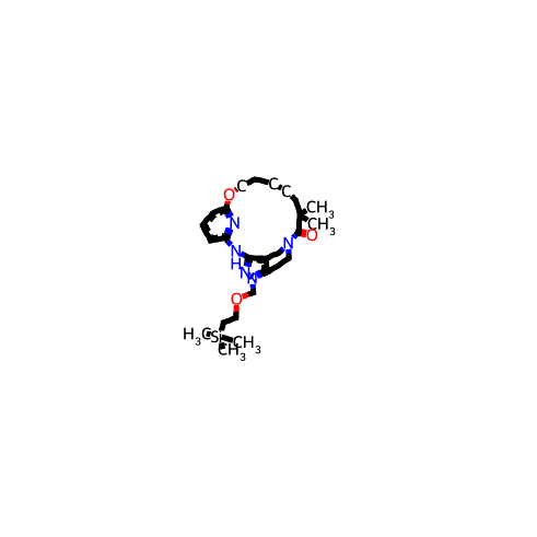 CC1(C)CCCCCOc2cccc(n2)Nc2nn(COCC[Si](C)(C)C)c3c2CN(C3)C1=O